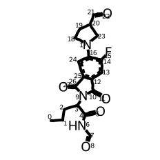 CCCC(C(=O)NC=O)N1C(=O)c2cc(F)c(N3CCC(C=O)C3)cc2C1=O